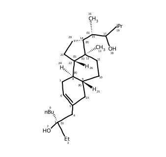 CCCC[C@@](O)(CC)CC1=CC[C@@H]2[C@H](CC[C@]3(C)[C@@H]([C@H](C)C(O)C(C)C)CC[C@@H]23)C1